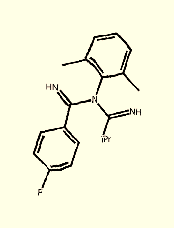 Cc1cccc(C)c1N(C(=N)c1ccc(F)cc1)C(=N)C(C)C